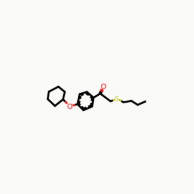 CCCCSCC(=O)c1ccc(OC2CCCCC2)cc1